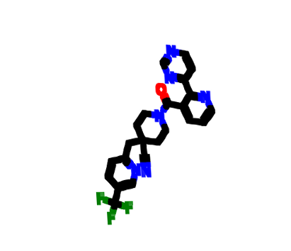 N#CC1(Cc2ccc(C(F)(F)F)cn2)CCN(C(=O)c2cccnc2-c2ccncn2)CC1